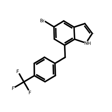 FC(F)(F)c1ccc(Cc2cc(Br)cc3c[c][nH]c23)cc1